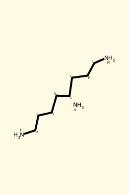 N.NCCCCCCCCN